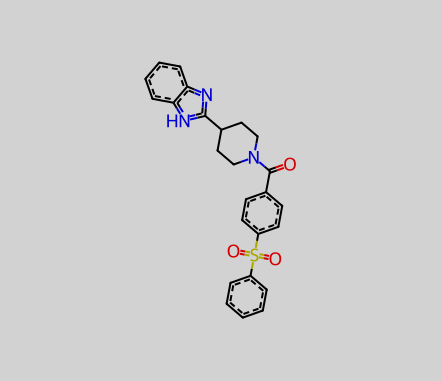 O=C(c1ccc(S(=O)(=O)c2ccccc2)cc1)N1CCC(c2nc3ccccc3[nH]2)CC1